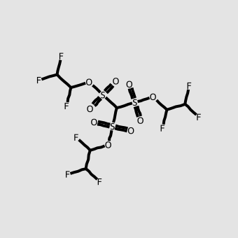 O=S(=O)(OC(F)C(F)F)C(S(=O)(=O)OC(F)C(F)F)S(=O)(=O)OC(F)C(F)F